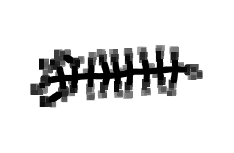 CCOC([SiH3])(OCC)C(F)(OCC)C(F)(F)C(F)(F)C(F)(F)C(F)(F)C(F)(F)C(F)(F)C(F)(F)C(F)(F)F